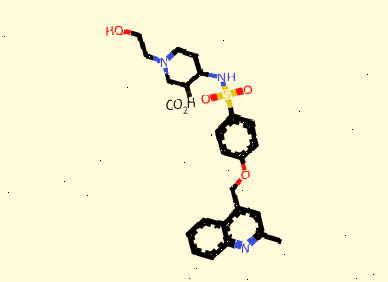 Cc1cc(COc2ccc(S(=O)(=O)NC3CCN(CCO)CC3C(=O)O)cc2)c2ccccc2n1